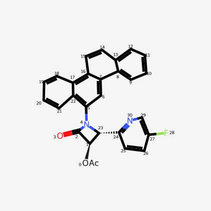 CC(=O)O[C@H]1C(=O)N(c2cc3c4ccccc4ccc3c3ccccc23)[C@@H]1c1ccc(F)cn1